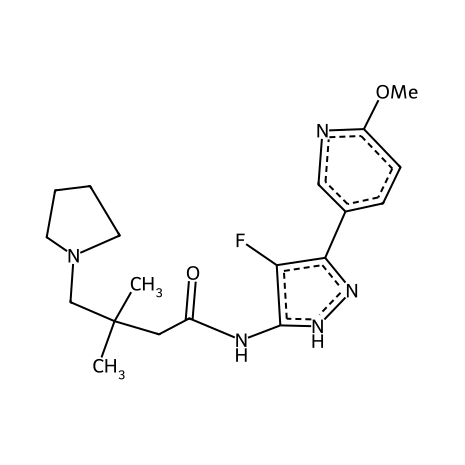 COc1ccc(-c2n[nH]c(NC(=O)CC(C)(C)CN3CCCC3)c2F)cn1